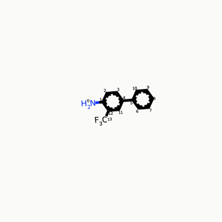 Nc1ccc(-c2ccccc2)cc1C(F)(F)F